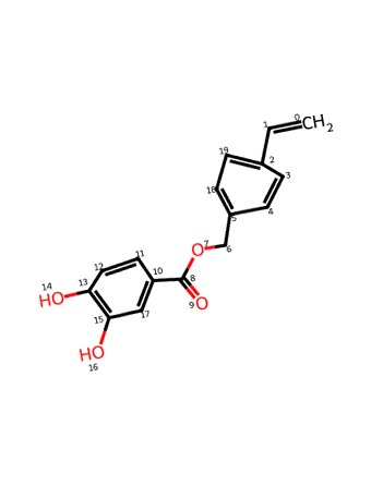 C=Cc1ccc(COC(=O)c2ccc(O)c(O)c2)cc1